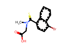 CN(CC(=O)O)C(=S)c1ccc(Br)c2ccccc12